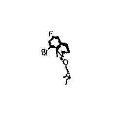 C[Si](C)(C)CCOCn1ccc2cc(F)cc(Br)c21